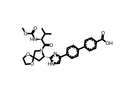 COC(=O)N[C@H](C(=O)N1CC2(C[C@H]1c1nc(-c3ccc(-c4ccc(C(=O)O)cc4)cc3)c[nH]1)OCCO2)C(C)C